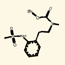 CN(CCc1ccccc1NS(C)(=O)=O)C(=O)OC(C)(C)C